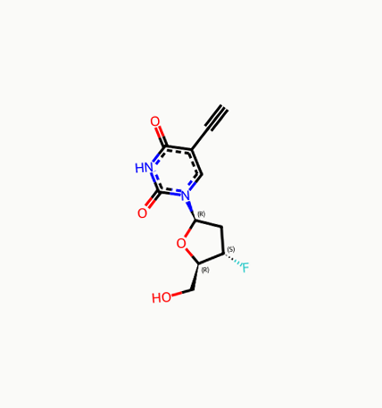 C#Cc1cn([C@H]2C[C@H](F)[C@@H](CO)O2)c(=O)[nH]c1=O